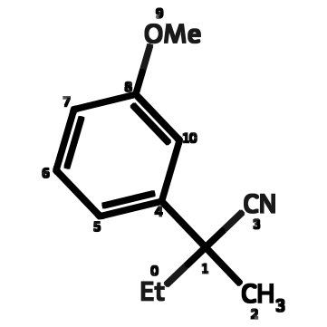 CCC(C)(C#N)c1cccc(OC)c1